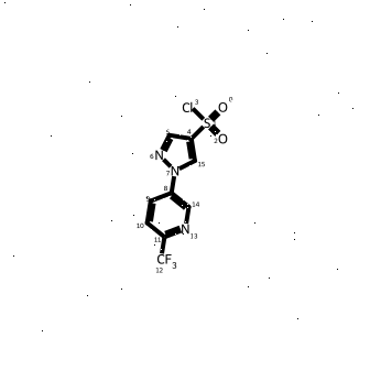 O=S(=O)(Cl)c1cnn(-c2ccc(C(F)(F)F)nc2)c1